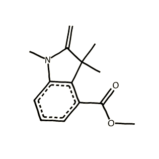 C=C1N(C)c2cccc(C(=O)OC)c2C1(C)C